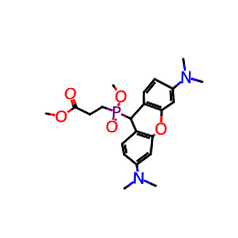 COC(=O)CCP(=O)(OC)C1c2ccc(N(C)C)cc2Oc2cc(N(C)C)ccc21